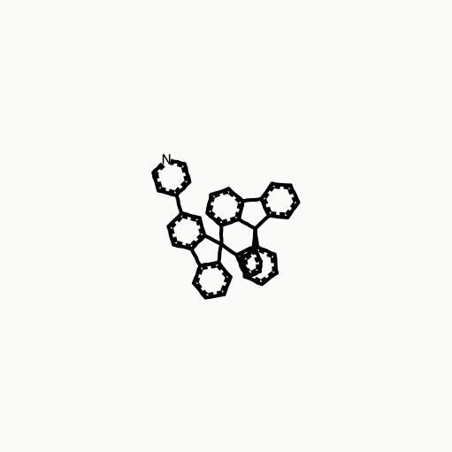 c1ccc(C23c4ccccc4-c4cccc(c42)C2(c4ccccc4-c4ccc(-c5ccncc5)cc42)c2ccccc23)cc1